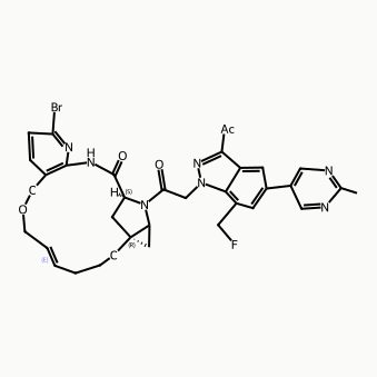 CC(=O)c1nn(CC(=O)N2C3C[C@@]34CCC/C=C/COCc3ccc(Br)nc3NC(=O)[C@@H]2C4)c2c(CF)cc(-c3cnc(C)nc3)cc12